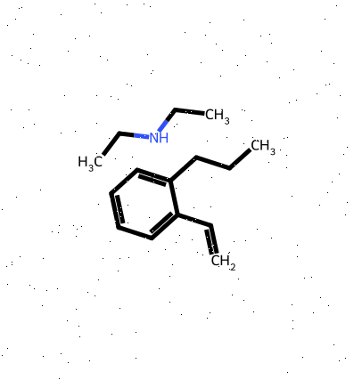 C=Cc1ccccc1CCC.CCNCC